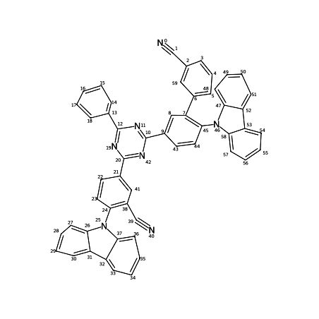 N#Cc1cccc(-c2cc(-c3nc(-c4ccccc4)nc(-c4ccc(-n5c6ccccc6c6ccccc65)c(C#N)c4)n3)ccc2-n2c3ccccc3c3ccccc32)c1